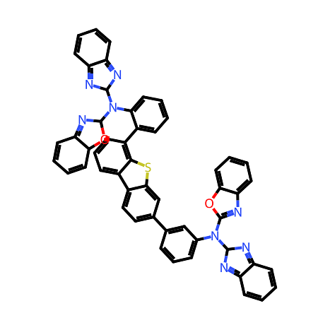 C1=CC2=NC(N(c3ccccc3-c3cccc4c3sc3cc(-c5cccc(N(c6nc7ccccc7o6)C6N=c7ccccc7=N6)c5)ccc34)C3N=c4ccccc4=N3)OC2C=C1